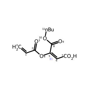 C=CC(=O)O/C(=C/C(=O)O)C(=O)OCCCC